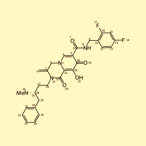 C=C1Cn2cc(C(=O)NCc3ccc(F)cc3F)c(=O)c(O)c2C(=O)N1CC[C@H](Cc1ccccc1)NC